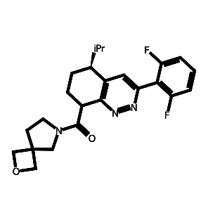 CC(C)[C@@H]1CCC(C(=O)N2CCC3(COC3)C2)c2nnc(-c3c(F)cccc3F)cc21